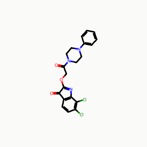 O=C1C(OCC(=O)N2CCN(c3ccccc3)CC2)=Nc2c1ccc(Cl)c2Cl